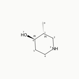 [CH2][C@@H]1CNCC[C@H]1O